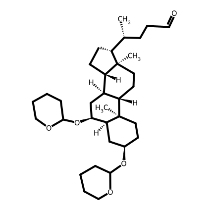 C[C@H](CCC=O)[C@H]1CC[C@H]2[C@@H]3C[C@H](OC4CCCCO4)[C@@H]4C[C@H](OC5CCCCO5)CC[C@]4(C)[C@H]3CC[C@]12C